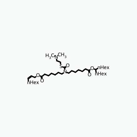 CCCCCC/C=C\COC(=O)CCCCCCN(CCCCCCC(=O)OC(CCCCCC)CCCCCC)C(=O)SCCN(C)C